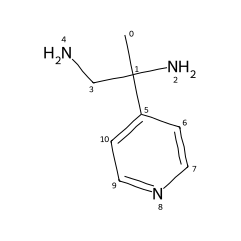 CC(N)(CN)c1ccncc1